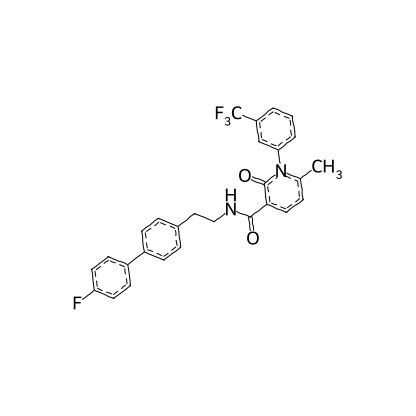 Cc1ccc(C(=O)NCCc2ccc(-c3ccc(F)cc3)cc2)c(=O)n1-c1cccc(C(F)(F)F)c1